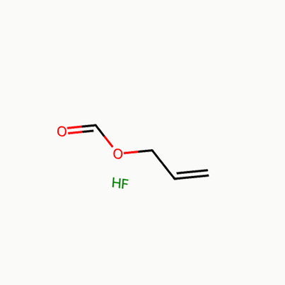 C=CCOC=O.F